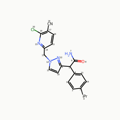 CC(C)c1ccc(C(C(N)=O)c2ccn(Cc3ccc(C#N)c(Cl)n3)n2)cc1